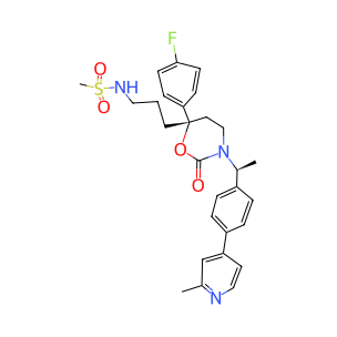 Cc1cc(-c2ccc([C@H](C)N3CC[C@@](CCCNS(C)(=O)=O)(c4ccc(F)cc4)OC3=O)cc2)ccn1